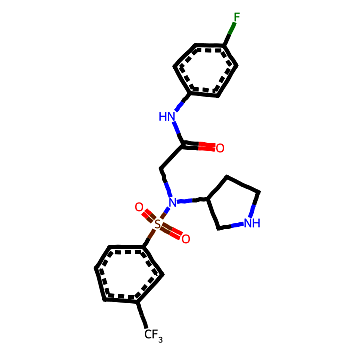 O=C(CN(C1CCNC1)S(=O)(=O)c1cccc(C(F)(F)F)c1)Nc1ccc(F)cc1